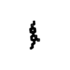 CCCCC1CCC(c2ccc(OCC)cc2)OC1=O